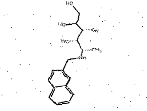 C[C@H](NCc1ccc2ccccc2c1)[C@H](O)[C@@H](O)[C@@H](O)CO